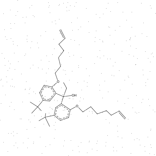 C=CCCCCCOc1ccc(C(C)(C)C)cc1C(O)(CC)c1cc(C(C)(C)C)ccc1OCCCCCC=C